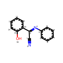 N#C/C(=N\c1ccccc1)c1ccccc1O